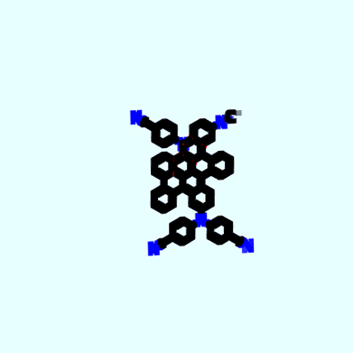 [C-]#[N+]c1ccc(N(c2ccc(C#N)cc2)c2ccc3c(-c4ccccc4-c4ccccc4)c4cc(N(c5ccc(C#N)cc5)c5ccc(C#N)cc5)ccc4c(-c4ccccc4-c4ccccc4)c3c2)cc1